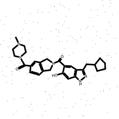 CN1CCN(C(=O)c2ccc3c(c2)CN(C(=O)c2cc4c(CC5CCCC5)n[nH]c4cc2O)C3)CC1